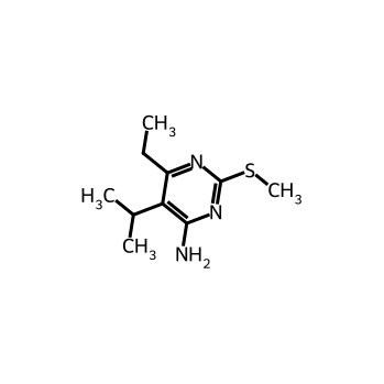 CCc1nc(SC)nc(N)c1C(C)C